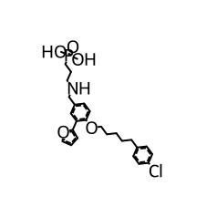 O=P(O)(O)CCCNCc1ccc(OCCCCCc2ccc(Cl)cc2)c(-c2ccco2)c1